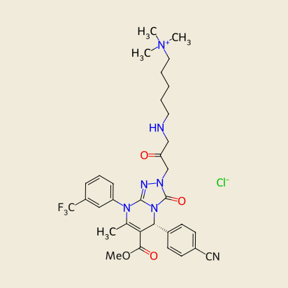 COC(=O)C1=C(C)N(c2cccc(C(F)(F)F)c2)c2nn(CC(=O)CNCCCCC[N+](C)(C)C)c(=O)n2[C@@H]1c1ccc(C#N)cc1.[Cl-]